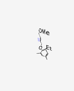 CCc1cc(C)cc(C)c1OC/C=C/COC